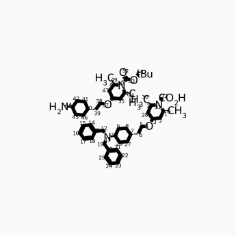 C[C@@H]1CC(OCC[C@H]2CC[C@H](N(Cc3ccccc3)Cc3ccccc3)CC2)C[C@H](C)N1C(=O)O.C[C@@H]1CC(OCC[C@H]2CC[C@H](N)CC2)C[C@H](C)N1C(=O)OC(C)(C)C